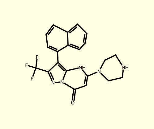 O=c1cc(N2CCNCC2)[nH]c2c(-c3cccc4ccccc34)c(C(F)(F)F)nn12